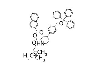 C[Si](C)(C)CCOCOC(OC1CNCCC1c1ccc(COC(c2ccccc2)(c2ccccc2)c2ccccc2)cc1)c1ccc2ccccc2c1